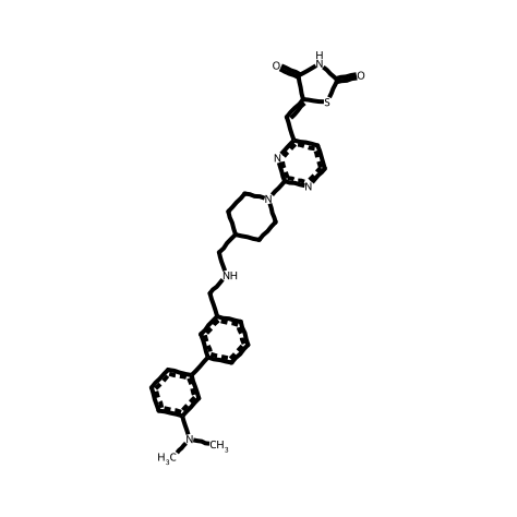 CN(C)c1cccc(-c2cccc(CNCC3CCN(c4nccc(/C=C5\SC(=O)NC5=O)n4)CC3)c2)c1